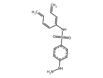 C=C/C=C\C(=C/C=C)NS(=O)(=O)c1ccc(NN)cc1